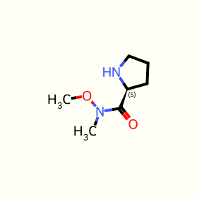 CON(C)C(=O)[C@@H]1CCCN1